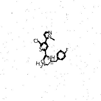 Cn1nccc1-c1cc(C(=O)N[C@H](CN)Cc2ccc(F)cc2)sc1Cl